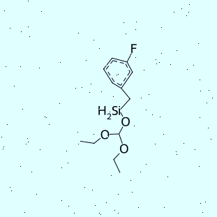 CCOC(OCC)O[SiH2]Cc1cccc(F)c1